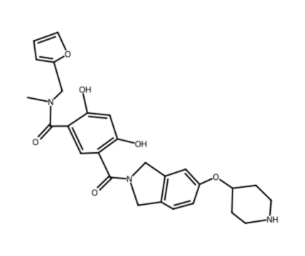 CN(Cc1ccco1)C(=O)c1cc(C(=O)N2Cc3ccc(OC4CCNCC4)cc3C2)c(O)cc1O